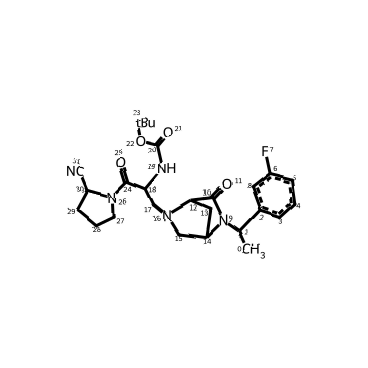 CC(c1cccc(F)c1)N1C(=O)C2CC1CN2CC(NC(=O)OC(C)(C)C)C(=O)N1CCCC1C#N